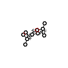 C[Si]1(C)c2cc(N(c3ccccc3)c3c(F)cc(-c4ccccc4)cc3-c3ccccc3)ccc2-c2ccc(N(c3ccccc3)c3c(F)cc(-c4ccccc4)cc3-c3ccccc3)c3cccc1c23